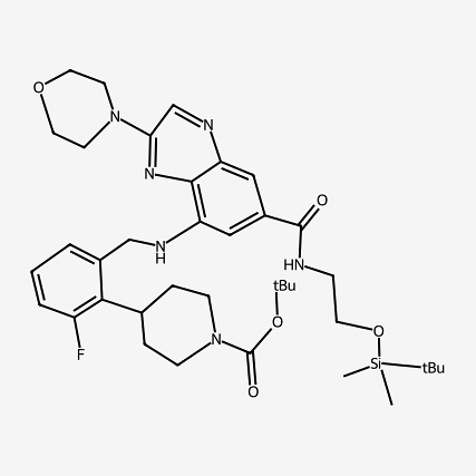 CC(C)(C)OC(=O)N1CCC(c2c(F)cccc2CNc2cc(C(=O)NCCO[Si](C)(C)C(C)(C)C)cc3ncc(N4CCOCC4)nc23)CC1